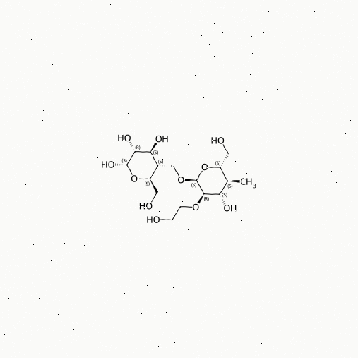 C[C@H]1[C@H](O)[C@@H](OCCO)[C@@H](OC[C@H]2[C@H](O)[C@@H](O)[C@@H](O)O[C@@H]2CO)O[C@@H]1CO